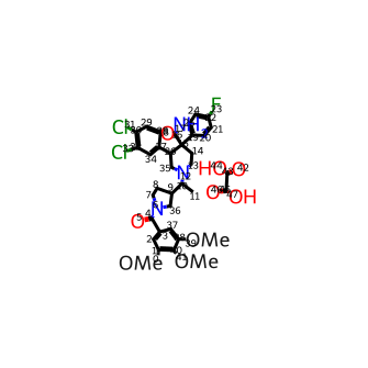 COc1cc(C(=O)N2CCC(C(C)N3CCC(C(N)=O)(c4ccc(F)cc4)C(c4ccc(Cl)c(Cl)c4)C3)C2)cc(OC)c1OC.O=C(O)C(=O)O